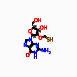 Nc1nc2c(ncn2[C@@H]2O[C@H](CO)[C@H](O)[C@H]2OCS)c(=O)[nH]1